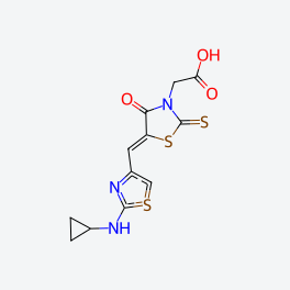 O=C(O)CN1C(=O)/C(=C/c2csc(NC3CC3)n2)SC1=S